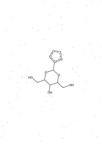 OCC1OC(c2ccco2)OC(CO)C1O